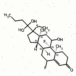 CCCC(O)(O)C1(SC)CC[C@H]2[C@@H]3CC(F)C4=CC(=O)CC[C@]4(C)[C@]3(F)C(O)C[C@@]21C